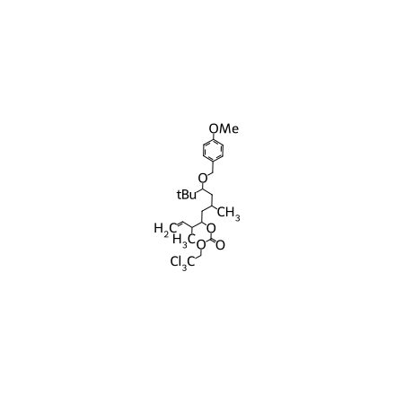 C=CC(C)C(CC(C)CC(OCc1ccc(OC)cc1)C(C)(C)C)OC(=O)OCC(Cl)(Cl)Cl